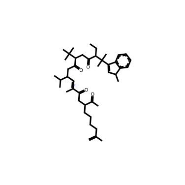 C=C(C)CCCCC(CC(=O)/C(C)=C/C(CC(=O)C(CC(=O)C(CC)C(C)(C)C1=CC(C)c2ccccc21)C(C)(C)C)C(C)C)C(C)=O